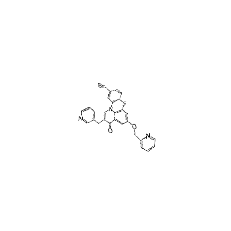 O=c1c(Cc2cccnc2)cn2c3c(cc(OCc4ccccn4)cc13)Sc1ccc(Br)cc1-2